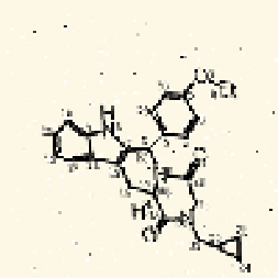 CCOc1ccc([C@H]2c3[nH]c4ccccc4c3C[C@@H]3C(=O)N(CC4CC4)CC(=O)N23)cc1